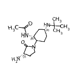 CC(=O)N[C@@H]1C[C@H](NC(C)(C)C)CCC1N1CC[C@H](N)C1=O